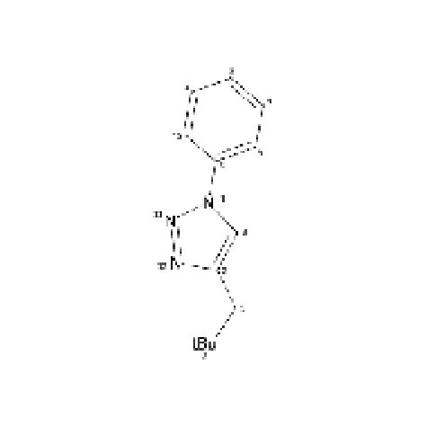 CC(C)(C)Cc1cn(-c2ccccc2)nn1